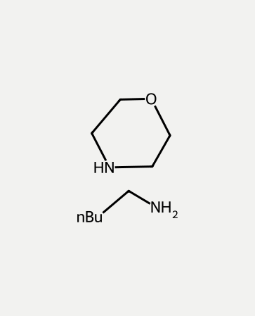 C1COCCN1.CCCCCN